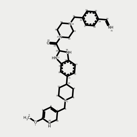 COC1=CC=C(CN2CCC(c3ccc4c(c3)NC(C(=O)N3CCN(Cc5ccc(C=N)cc5)CC3)N4)CC2)CN1